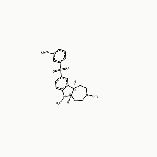 COc1cccc(S(=O)(=O)c2ccc3c(c2)[C@H]2CCN(C)CC[C@@H]2N3C)c1